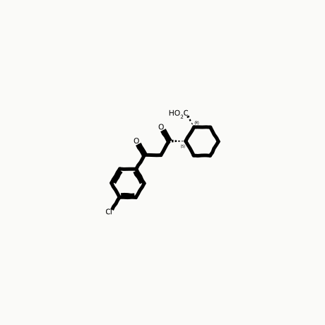 O=C(CC(=O)[C@H]1CCCC[C@H]1C(=O)O)c1ccc(Cl)cc1